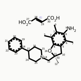 Cc1c(C)c2c(c(C)c1N)C[C@@](C)(CN1CCC(c3ccccc3)CC1)O2.O=C(O)/C=C/C(=O)O